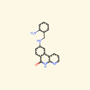 Nc1ccccc1CNc1ccc2c(=O)[nH]c3ncccc3c2c1